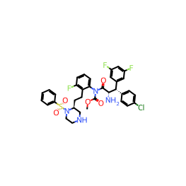 COC(=O)N(C(=O)[C@@H](N)[C@@H](c1ccc(Cl)cc1)c1cc(F)cc(F)c1)c1cccc(F)c1CC[C@H]1CNCCN1S(=O)(=O)c1ccccc1